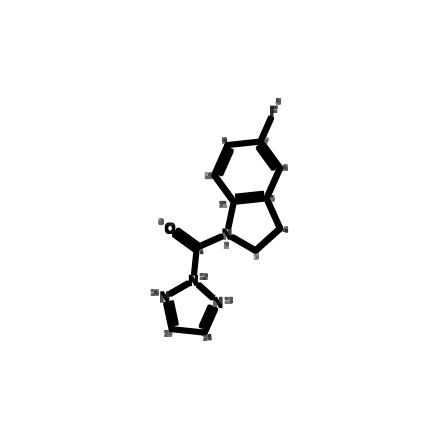 O=C(N1CCc2cc(F)ccc21)n1nccn1